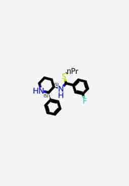 CCCSC(N[C@H]1CCCN[C@H]1c1ccccc1)c1cccc(F)c1